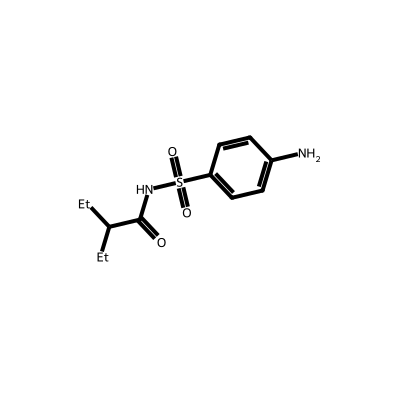 CCC(CC)C(=O)NS(=O)(=O)c1ccc(N)cc1